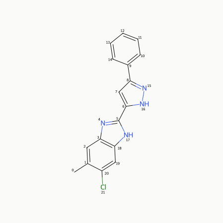 Cc1cc2nc(-c3cc(-c4ccccc4)n[nH]3)[nH]c2cc1Cl